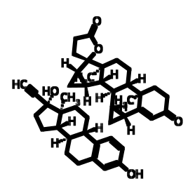 C#C[C@]1(O)CC[C@H]2[C@@H]3CCc4cc(O)ccc4[C@H]3CC[C@@]21C.C[C@]12CCC(=O)C=C1[C@@H]1C[C@@H]1[C@H]1[C@@H]3[C@@H]4C[C@@H]4[C@@]4(CCC(=O)O4)[C@@]3(C)CC[C@@H]12